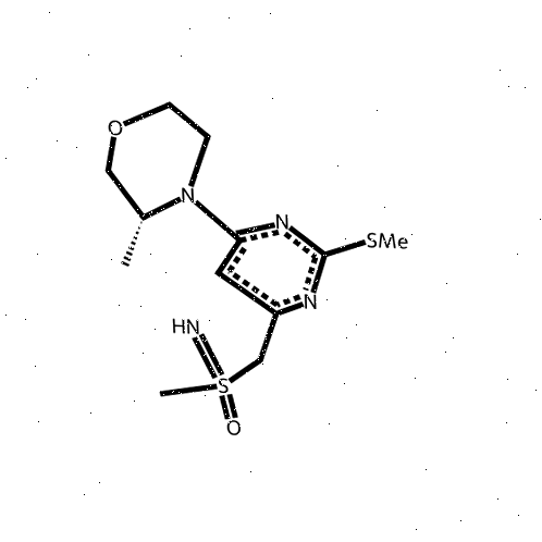 CSc1nc(CS(C)(=N)=O)cc(N2CCOC[C@H]2C)n1